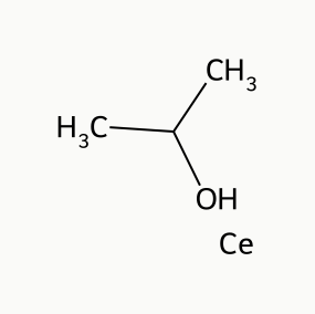 CC(C)O.[Ce]